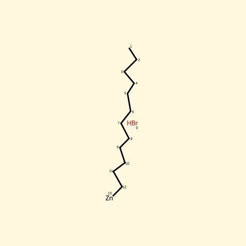 Br.CCCCCCCCCCC[CH2][Zn]